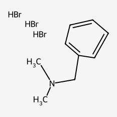 Br.Br.Br.CN(C)Cc1ccccc1